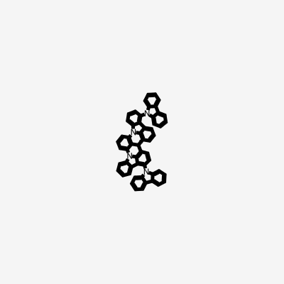 FC12c3c(cccc3-n3c4ccccc4c4c(-n5c6ccccc6c6ccccc65)ccc1c43)-n1c3cccc(-n4c5ccccc5c5ccccc54)c3c3cccc2c31